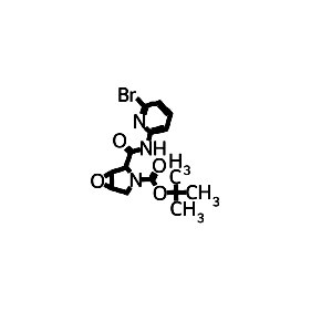 CC(C)(C)OC(=O)N1CC2OC2C1C(=O)Nc1cccc(Br)n1